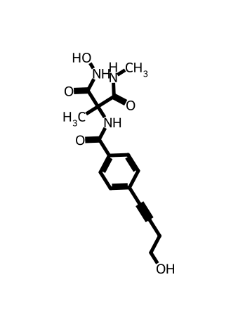 CNC(=O)C(C)(NC(=O)c1ccc(C#CCCO)cc1)C(=O)NO